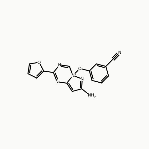 N#Cc1cccc(O[N+]23C=NC(c4ccco4)=NC2=CC(N)=N3)c1